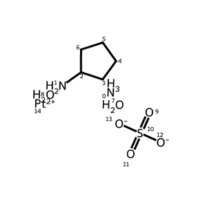 N.NC1CCCC1.O.O.O=S(=O)([O-])[O-].[Pt+2]